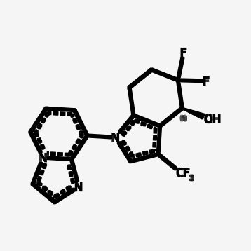 O[C@H]1c2c(C(F)(F)F)cn(-c3cccn4ccnc34)c2CCC1(F)F